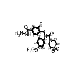 NNC(=O)c1ccc(CN(C(=O)N2CCS(=O)(=O)CC2)c2ccc(OC(F)(F)F)cc2)c(F)c1